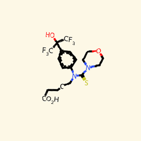 O=C(O)CCCCN(C(=S)N1CCOCC1)c1ccc(C(O)(C(F)(F)F)C(F)(F)F)cc1